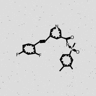 Cc1ccc(S(C)(=O)=NC(=O)c2cncc(C#Cc3ccc(F)cc3F)c2)cc1C